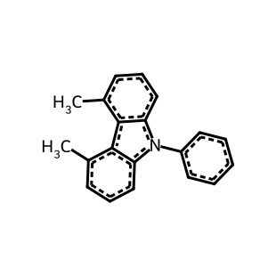 Cc1cccc2c1c1c(C)cccc1n2-c1ccccc1